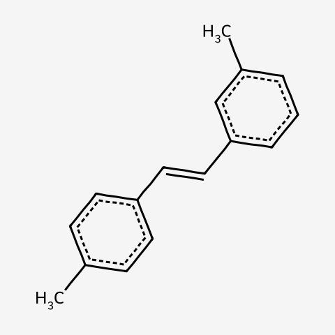 Cc1ccc(C=Cc2cccc(C)c2)cc1